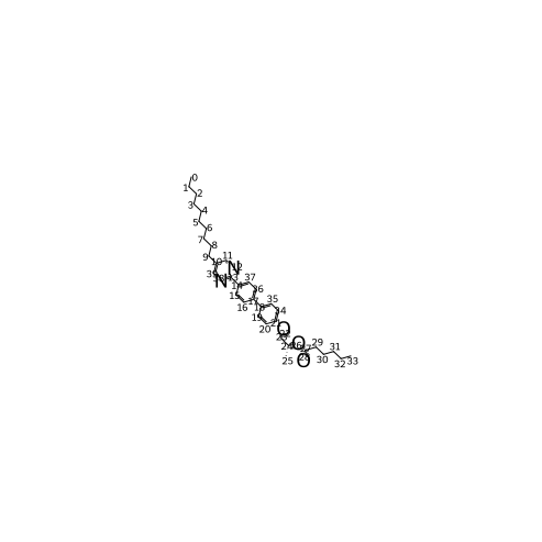 CCCCCCCCCCc1cnc(-c2ccc(-c3ccc(OC[C@@H](C)OC(=O)CCCCC)cc3)cc2)nc1